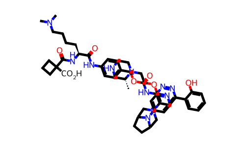 C[C@@H]1CNCCN1CCOc1cc(N2C3CCC2CN(c2cc(-c4ccccc4O)nnc2NC(=O)OCc2ccc(NC(=O)[C@H](CCCCN(C)C)NC(=O)C4(C(=O)O)CCC4)cc2)C3)ccn1